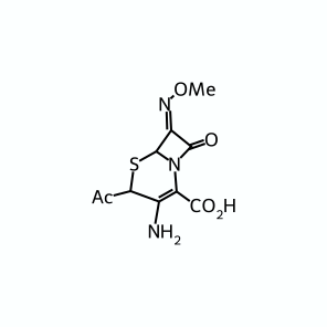 CON=C1C(=O)N2C(C(=O)O)=C(N)C(C(C)=O)SC12